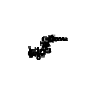 COc1cc(-c2cc(C(=O)N3CCC(C(=O)NCc4noc(C)n4)CC3)n[nH]2)c(Cl)cn1